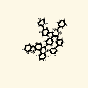 c1ccc(-c2cccc(-c3nc(-c4ccccc4)nc(-c4cccc(-c5ccccc5)c4)c3-c3ccc(-c4nc5ccccc5c5c4ccc4c6ccccc6sc45)cc3)c2)cc1